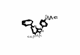 CCOC(=O)c1cc(-c2ccccc2)nc2c1c(C)nn2-c1ccc(OC)cc1